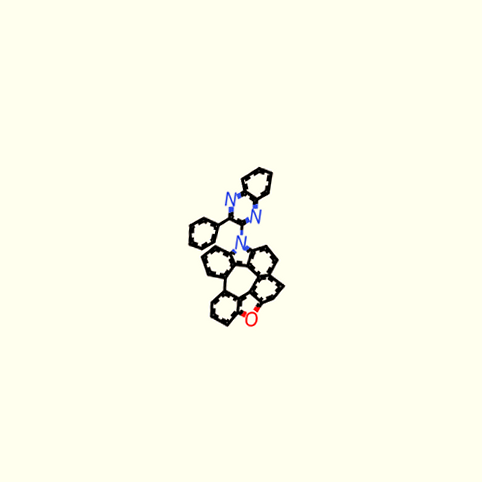 c1ccc(-c2nc3ccccc3nc2-n2c3cccc4c3c3c5c(ccc6oc7cccc-4c7c65)ccc32)cc1